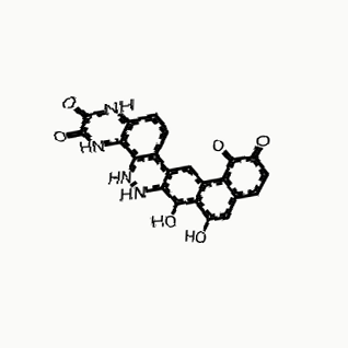 O=c1ccc2cc(O)c3c(O)c4[nH][nH]c5c(ccc6[nH]c(=O)c(=O)[nH]c65)c4cc3c2c1=O